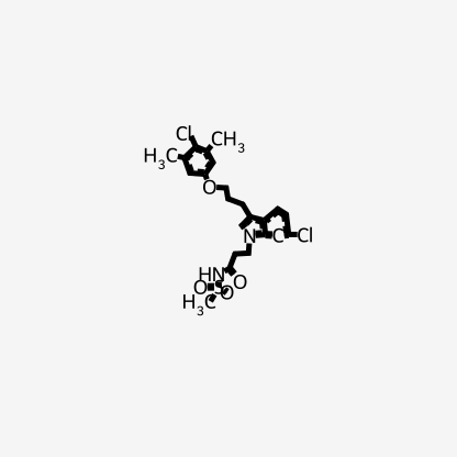 Cc1cc(OCCCc2cn(CCC(=O)NS(C)(=O)=O)c3cc(Cl)ccc23)cc(C)c1Cl